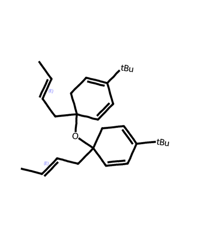 C/C=C/CC1(OC2(C/C=C/C)C=CC(C(C)(C)C)=CC2)C=CC(C(C)(C)C)=CC1